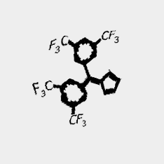 FC(F)(F)c1cc(C(=C2[C]=CC=C2)c2cc(C(F)(F)F)cc(C(F)(F)F)c2)cc(C(F)(F)F)c1